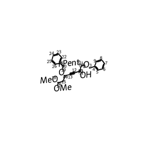 CCCCC[C@H](OCc1ccccc1)[C@H](O)C#C[C@@H](CC(OC)OC)OCc1ccccc1